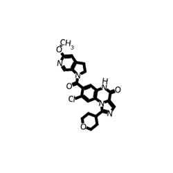 COc1cc2c(cn1)N(C(=O)c1cc3[nH]c(=O)c4cnc(C5CCOCC5)n4c3cc1Cl)CC2